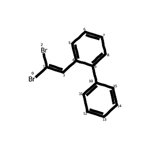 BrC(Br)=Cc1ccccc1-c1ccccc1